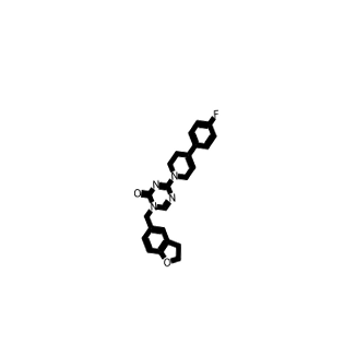 O=c1nc(N2CC=C(c3ccc(F)cc3)CC2)ncn1Cc1ccc2c(c1)CCO2